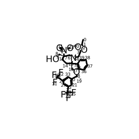 CC1OC(CN2C[C@@](CO)([N+](=O)[O-])CC[C@@]2(CO[C@H](C)c2cc(C(F)(F)F)cc(C(F)(F)F)c2)c2ccccc2)O1